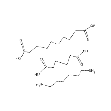 NCCCCCCN.O=C(O)CCCCC(=O)O.O=C(O)CCCCCCCCC(=O)O